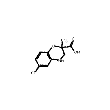 CC1(C(=O)O)CNc2cc(Cl)ccc2O1